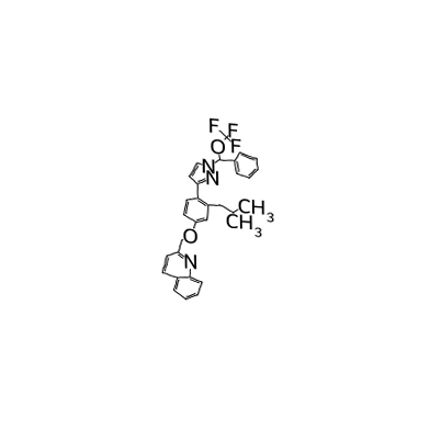 CC(C)Cc1cc(OCc2ccc3ccccc3n2)ccc1-c1ccn(C(OC(F)(F)F)c2ccccc2)n1